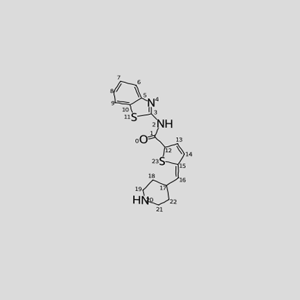 O=C(Nc1nc2ccccc2s1)C1C=CC(=CC2CCNCC2)S1